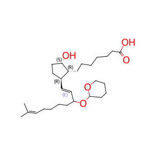 CC(C)=CCCCCC(/C=C/[C@H]1CC[C@H](O)[C@@H]1CCCCCCC(=O)O)OC1CCCCO1